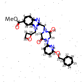 COC(=O)c1ccc2nc(CN3CC(=O)N(c4cccc(OCc5ccccc5)n4)CC3=O)n(CC3CCO3)c2c1